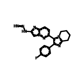 N=NNc1cn2nc(-c3c(-c4ccc(F)cc4)nc4n3CCCC4)ccc2n1